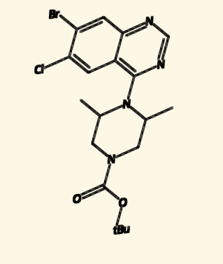 CC1CN(C(=O)OC(C)(C)C)CC(C)N1c1ncnc2cc(Br)c(Cl)cc12